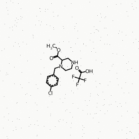 COC(=O)C1CNCCN1Cc1ccc(Cl)cc1.O=C(O)C(F)(F)F